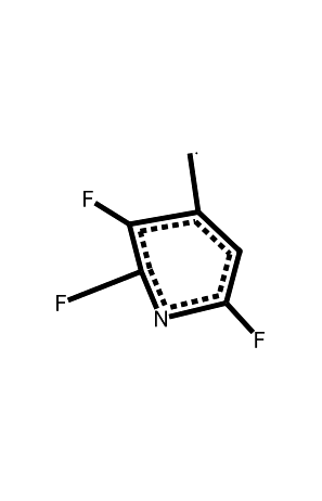 [CH2]c1cc(F)nc(F)c1F